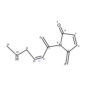 C=C1C=CC(=O)N1C(=C)/C=C\CNC